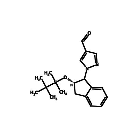 CC(C)(C)[Si](C)(C)O[C@H]1Cc2ccccc2C1n1cc(C=O)cn1